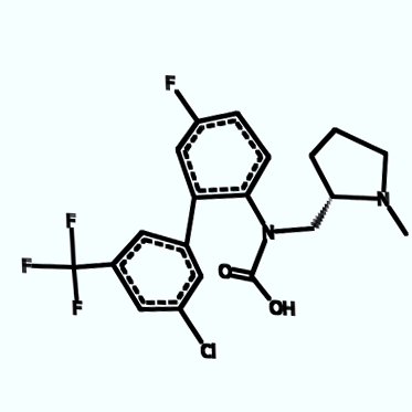 CN1CCC[C@H]1CN(C(=O)O)c1ccc(F)cc1-c1cc(Cl)cc(C(F)(F)F)c1